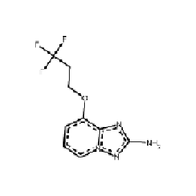 Nc1nc2c(OCCC(F)(F)F)cccn2n1